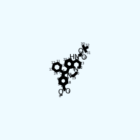 COC(=O)c1ccc2c(C3CCCCC3)c3n(c2c1)CCN1CCC(NC(=O)OC(C)(C)C)c2cccc-3c21